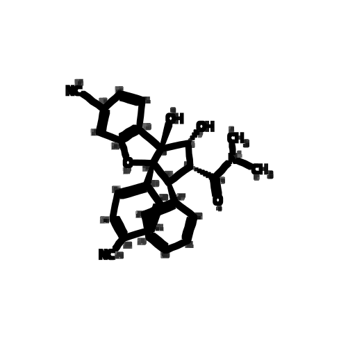 CN(C)C(=O)[C@H]1[C@@H](O)[C@@]2(O)c3ccc(C#N)cc3O[C@@]2(c2ccc(C#N)cc2)[C@@H]1c1ccccc1